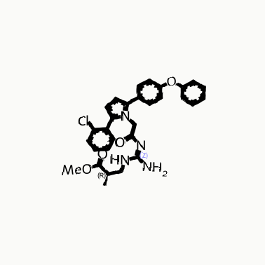 COC(=O)[C@H](C)CN/C(N)=N\C(=O)Cn1c(-c2ccc(Oc3ccccc3)cc2)ccc1-c1ccccc1Cl